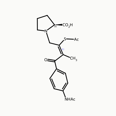 CC(=O)Nc1ccc(C(=O)/C(C)=C(\CN2CCC[C@H]2C(=O)O)SC(C)=O)cc1